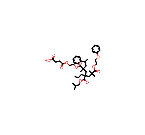 CCCC(CC(C)(C)C(=O)OCCOc1ccccc1)(CC(C)(CC(C)c1ccccc1)C(=O)OCCOC(=O)CCC(=O)O)C(=O)OCC(C)C